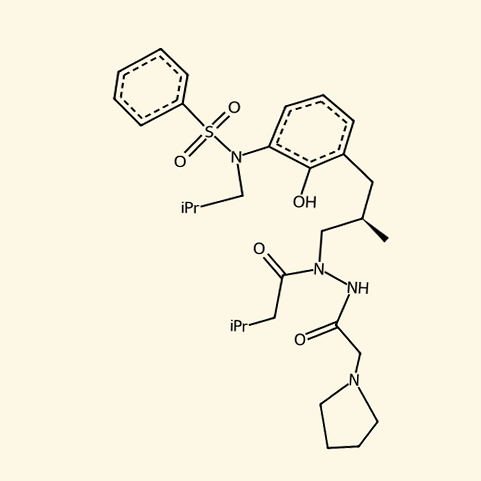 CC(C)CC(=O)N(C[C@H](C)Cc1cccc(N(CC(C)C)S(=O)(=O)c2ccccc2)c1O)NC(=O)CN1CCCC1